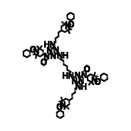 COCN(c1nc(NCCCCCCNc2nc(NCCCCC3CC(C)(C)N(OC4CCCCC4)C(C)(C)C3)nc(N(COC)C3CC(C)(C)N(OC4CCCCC4)C(C)(C)C3)n2)nc(NCCCCC2CC(C)(C)N(OC3CCCCC3)C(C)(C)C2)n1)C1CC(C)(C)N(OC2CCCCC2)C(C)(C)C1